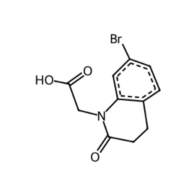 O=C(O)CN1C(=O)CCc2ccc(Br)cc21